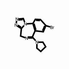 Brc1ccc2c(c1)C(N1CCCC1)=NCc1nncn1-2